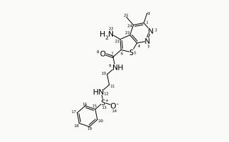 Cc1nnc2sc(C(=O)NCCN[S+]([O-])c3ccccc3)c(N)c2c1C